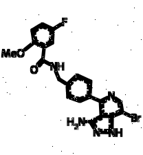 COc1ccc(F)cc1C(=O)NCc1ccc(-c2ncc(Br)c3[nH]nc(N)c23)cc1